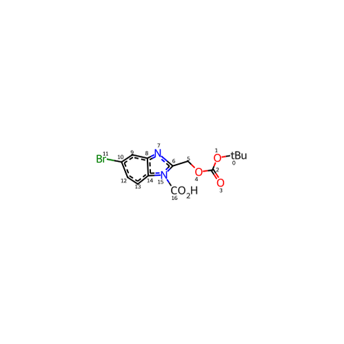 CC(C)(C)OC(=O)OCc1nc2cc(Br)ccc2n1C(=O)O